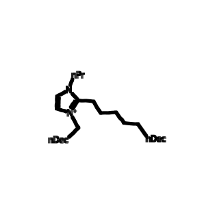 CCCCCCCCCCCCCCCc1n(CCC)cc[n+]1CCCCCCCCCCC